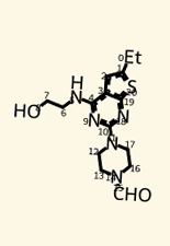 CCc1cc2c(NCCO)nc(N3CCN(C=O)CC3)nc2s1